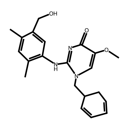 COc1cn(CC2C=CC=CC2)c(Nc2cc(CO)c(C)cc2C)nc1=O